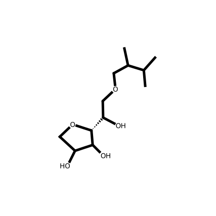 CC(C)C(C)COCC(O)[C@H]1OCC(O)C1O